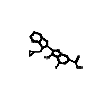 COC(=O)c1cc(F)c2c(C)c(-c3cc4cccnc4n3CC3CC3)nn2c1